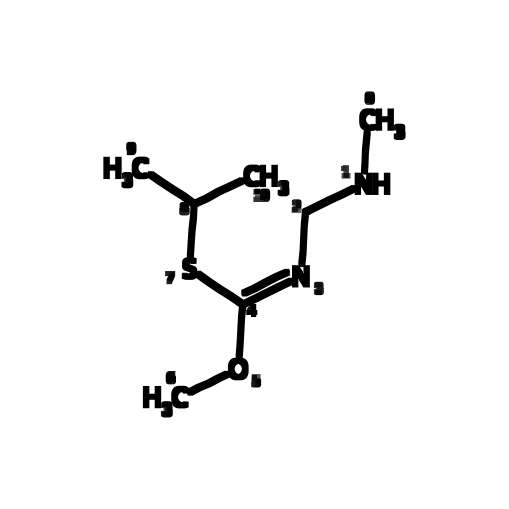 CNC/N=C(/OC)SC(C)C